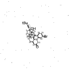 CC(C)(C)C#C[C@]1(O)CC[C@H]2[C@@H]3CCC4=CC(=O)CCC4=C3[C@@H](c3ccc(Br)cc3)C[C@@]21C